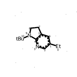 CCc1cnc2c(c1)CCN2C(C)(C)C